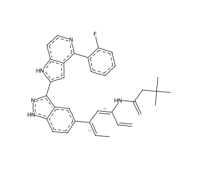 C=C/C(=C\C(=C/C)c1ccc2[nH]nc(-c3cc4c(-c5ccccc5F)nccc4[nH]3)c2c1)NC(=C)CC(C)(C)C